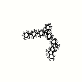 CC1(C)c2ccccc2-c2cc3c(cc21)-c1cc(-c2ccc(N(c4ccccc4)c4ccc(-c5ccc(-c6ccccc6)cc5)cc4)cc2)ccc1C3(C)C